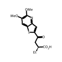 CC[C@@H](CC(=O)c1cc2nc(OC)c(OC)cc2s1)C(=O)O